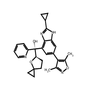 Cc1noc(C)c1-c1cc([C@](O)(c2ccccn2)[C@H]2CCC3(CC3)O2)c2nc(C3CC3)[nH]c2c1